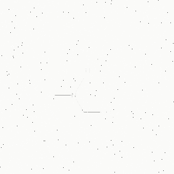 CN(C)CC(=O)O.Cl.Cl